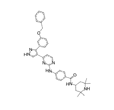 CC1(C)CC(NC(=O)c2ccc(Nc3nccc(-c4c[nH]nc4-c4cccc(OCc5ccccc5)c4)n3)cc2)CC(C)(C)N1